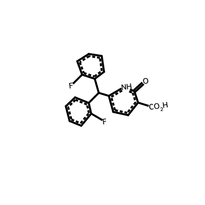 O=C(O)c1ccc(C(c2ccccc2F)c2ccccc2F)[nH]c1=O